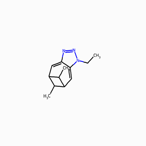 CCn1nnc2c1=CC1C(C)C(C=2)C1C